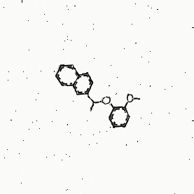 COc1cc[c]cc1OC(C)c1ccc2ccccc2c1